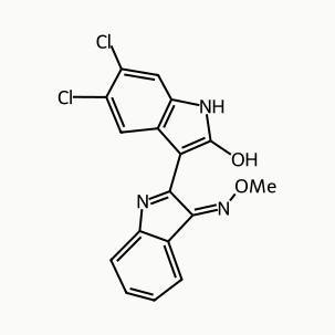 CO/N=C1\C(c2c(O)[nH]c3cc(Cl)c(Cl)cc23)=Nc2ccccc21